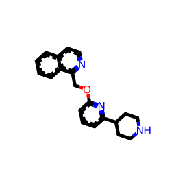 c1cc(OCc2nccc3ccccc23)nc(C2CCNCC2)c1